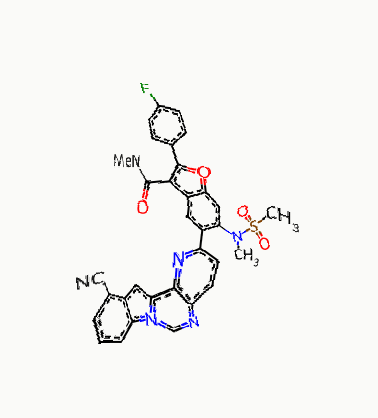 CNC(=O)c1c(-c2ccc(F)cc2)oc2cc(N(C)S(C)(=O)=O)c(-c3ccc4ncn5c6cccc(C#N)c6cc5c4n3)cc12